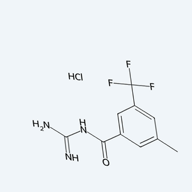 Cc1cc(C(=O)NC(=N)N)cc(C(F)(F)F)c1.Cl